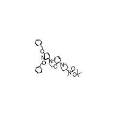 CN(C(=O)OC(C)(C)C)C1CCN(c2cccc3c2OCCN3c2ccc(OCc3ccccc3)nc2OCc2ccccc2)CC1